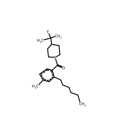 CCCCCCc1cc(C)ccc1C(=O)N1CCC(C(C)(C)F)CC1